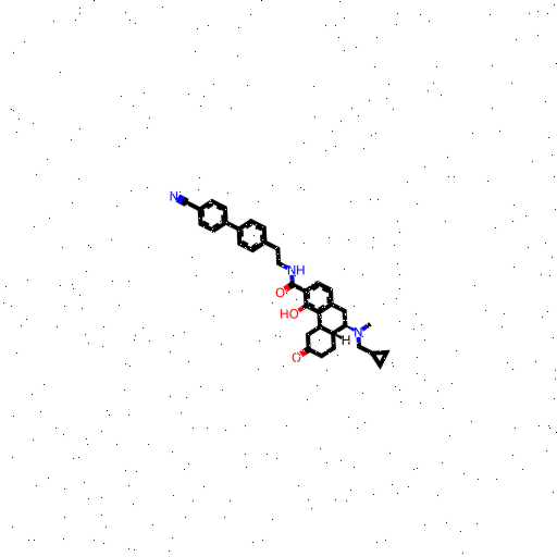 CN(CC1CC1)[C@@H]1Cc2ccc(C(=O)NCCc3ccc(-c4ccc(C#N)cc4)cc3)c(O)c2C2CC(=O)CC[C@H]21